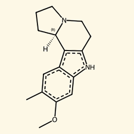 COc1cc2[nH]c3c(c2cc1C)[C@H]1CCCN1CC3